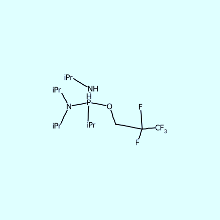 CC(C)N[PH](OCC(F)(F)C(F)(F)F)(C(C)C)N(C(C)C)C(C)C